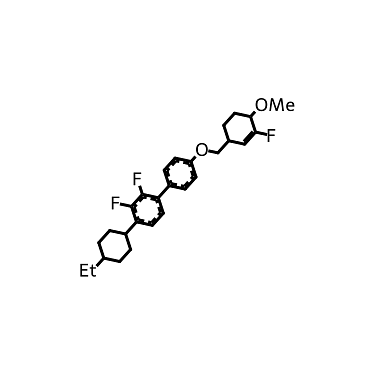 CCC1CCC(c2ccc(-c3ccc(OCC4C=C(F)C(OC)CC4)cc3)c(F)c2F)CC1